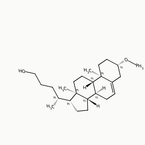 C[C@H](CCCO)[C@H]1CC[C@H]2[C@@H]3CC=C4C[C@@H](OP)CC[C@]4(C)[C@H]3CC[C@]12C